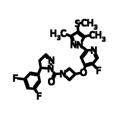 CSc1c(C)nn(-c2cc(OC3CN(C(=O)N4N=CCC4c4cc(F)cc(F)c4)C3)c(F)cn2)c1C